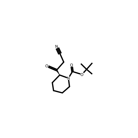 CC(C)(C)OC(=O)N1CCCC[C@H]1C(=O)CC#N